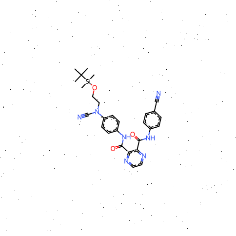 CC(C)(C)[Si](C)(C)OCCN(C#N)c1ccc(NC(=O)c2nccnc2C(=O)Nc2ccc(C#N)cc2)cc1